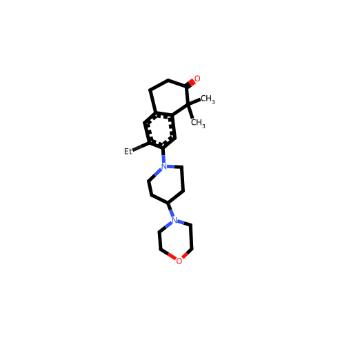 CCc1cc2c(cc1N1CCC(N3CCOCC3)CC1)C(C)(C)C(=O)CC2